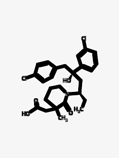 CC[C@H](C[C@@](O)(Cc1ccc(Cl)cc1)c1cccc(Cl)c1)N1CCCC(C)(CC(=O)O)C1=O